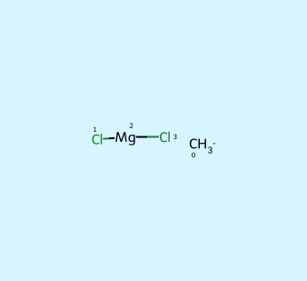 [CH3].[Cl][Mg][Cl]